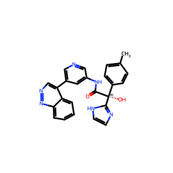 Cc1ccc([C@](O)(C(=O)Nc2cncc(-c3cnnc4ccccc34)c2)c2ncc[nH]2)cc1